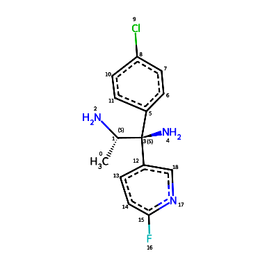 C[C@H](N)[C@](N)(c1ccc(Cl)cc1)c1ccc(F)nc1